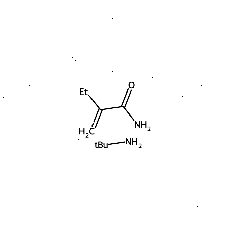 C=C(CC)C(N)=O.CC(C)(C)N